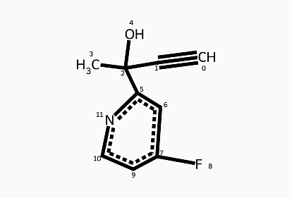 C#CC(C)(O)c1cc(F)ccn1